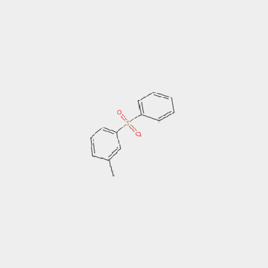 Cc1cccc(S(=O)(=O)c2[c]cccc2)c1